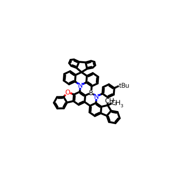 CC(C)(C)c1ccc(N2B3c4cccc5c4N(c4ccccc4C54c5ccccc5-c5ccccc54)c4c3c(cc3c4oc4ccccc43)-c3ccc4c(c32)C(C)(C)c2ccccc2-4)cc1